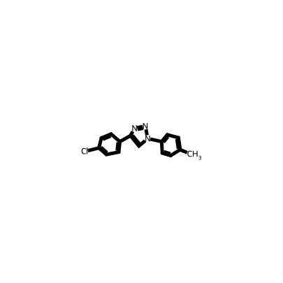 Cc1ccc(-n2cc(-c3ccc(Cl)cc3)nn2)cc1